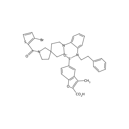 Cc1c(C(=O)O)oc2ccc([S+]([O-])N(CCc3ccccc3)c3ccccc3N3CCC4(CCN(C(=O)c5sccc5Br)C4)CC3)cc12